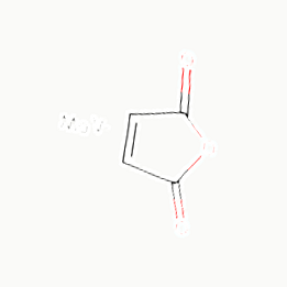 O=C1C=CC(=O)O1.[Mo].[V]